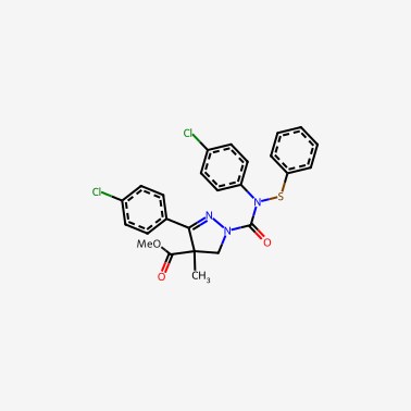 COC(=O)C1(C)CN(C(=O)N(Sc2ccccc2)c2ccc(Cl)cc2)N=C1c1ccc(Cl)cc1